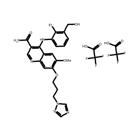 CCc1c(CO)cccc1Nc1c(C(N)=O)cnc2cc(OCCCn3cncn3)c(OC)cc12.O=C(O)C(F)(F)F.O=C(O)C(F)(F)F